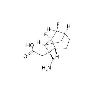 NC[C@]1(CC(=O)O)[C@H]2CC[C@H]3C[C@@H]1[C@@]2(F)[C@H]3F